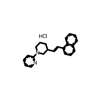 C(=CC1CCCN(c2ccccn2)C1)c1cccc2ccccc12.Cl